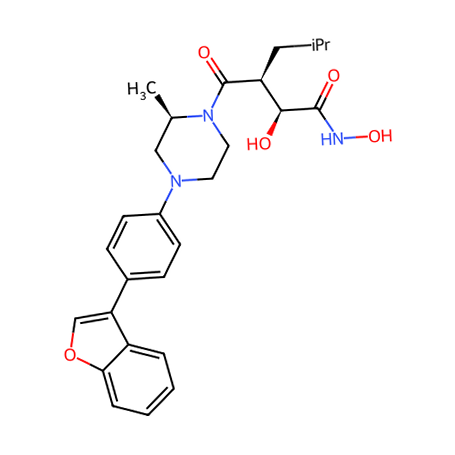 CC(C)C[C@H](C(=O)N1CCN(c2ccc(-c3coc4ccccc34)cc2)C[C@H]1C)[C@H](O)C(=O)NO